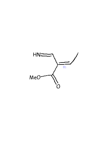 C/C=C(\C=N)C(=O)OC